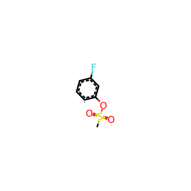 CS(=O)(=O)Oc1[c]ccc(F)c1